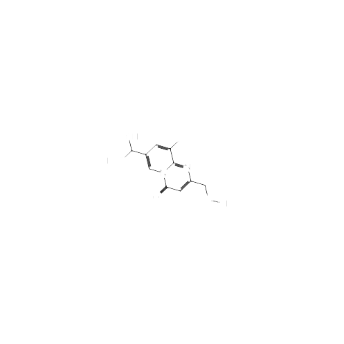 COCc1cc(=O)n2cc(C(C)C)cc(F)c2n1